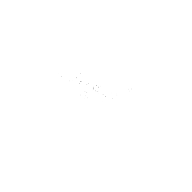 COC(=O)c1cccc(NCc2nc(-c3cccc(C)n3)c(-c3ccc4ncc(OCCN)nc4c3)[nH]2)c1F